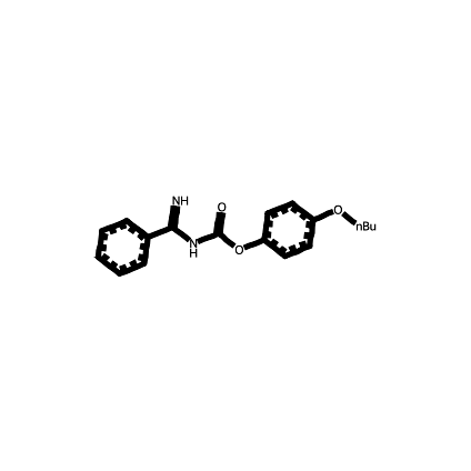 CCCCOc1ccc(OC(=O)NC(=N)c2cc[c]cc2)cc1